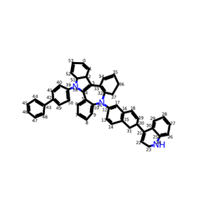 C1=CC2C3=C(c4ccccc4N(c4ccc5c(c4)C=CC(C4=CCNc6ccccc64)C5)C4=C3C=CCC4)N(c3ccc(-c4ccccc4)cc3)C2C=C1